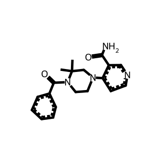 CC1(C)CN(c2ccncc2C(N)=O)CCN1C(=O)c1ccccc1